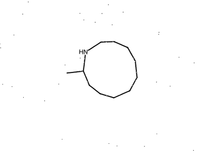 CC1CCCCCCCCCN1